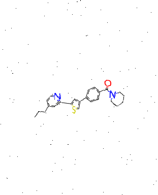 CCCc1ccnc(-c2cc(-c3ccc(C(=O)N4CCCCC4)cc3)cs2)c1